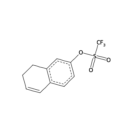 O=S(=O)(Oc1ccc2c(c1)CCC=C2)C(F)(F)F